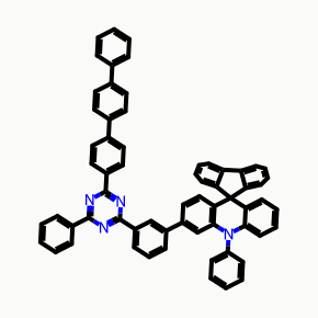 c1ccc(-c2ccc(-c3ccc(-c4nc(-c5ccccc5)nc(-c5cccc(-c6ccc7c(c6)N(c6ccccc6)c6ccccc6C76c7ccccc7-c7ccccc76)c5)n4)cc3)cc2)cc1